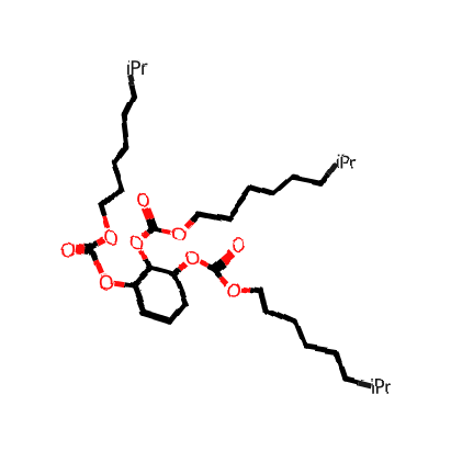 CC(C)CCCCCCOC(=O)OC1CCCC(OC(=O)OCCCCCCC(C)C)C1OC(=O)OCCCCCCC(C)C